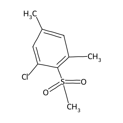 Cc1cc(C)c(S(C)(=O)=O)c(Cl)c1